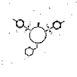 C=C1CN(S(=O)(=O)c2ccc(C)cc2)CCCN(CC2CCCCC2)CCCN(S(=O)(=O)c2ccc(C)cc2)C1